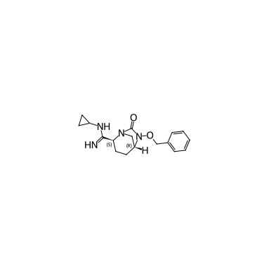 N=C(NC1CC1)[C@@H]1CC[C@@H]2CN1C(=O)N2OCc1ccccc1